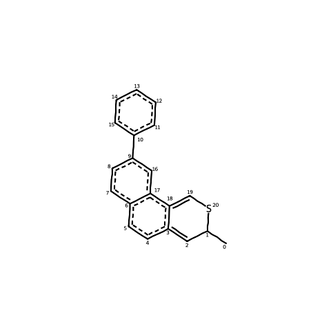 CC1C=c2ccc3ccc(-c4ccccc4)cc3c2=CS1